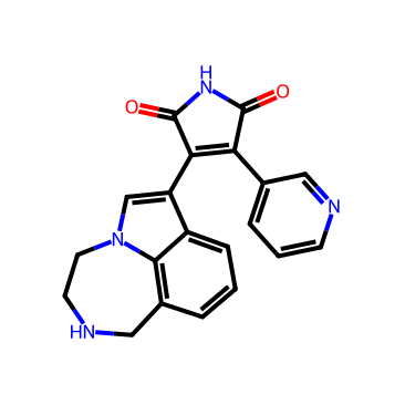 O=C1NC(=O)C(c2cn3c4c(cccc24)CNCC3)=C1c1cccnc1